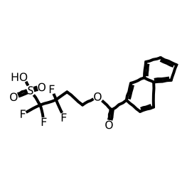 O=C(OCCC(F)(F)C(F)(F)S(=O)(=O)O)c1ccc2ccccc2c1